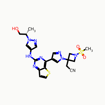 C[C@@H](CO)n1cc(Nc2nc(-c3cnn(C4(CC#N)CN(S(C)(=O)=O)C4)c3)c3sccc3n2)cn1